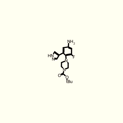 CC(C)(C)OC(=O)N1CCN(c2c(F)cc(N)cc2-c2cn[nH]c2)CC1